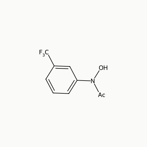 CC(=O)N(O)c1cccc(C(F)(F)F)c1